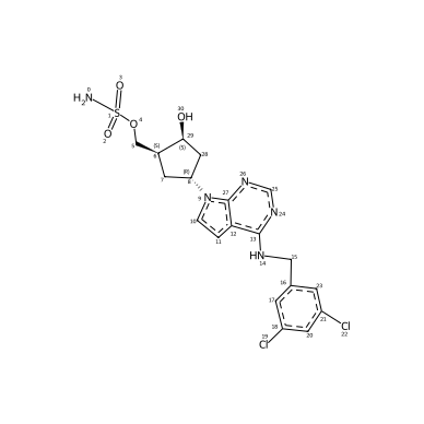 NS(=O)(=O)OC[C@@H]1C[C@@H](n2ccc3c(NCc4cc(Cl)cc(Cl)c4)ncnc32)C[C@@H]1O